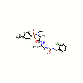 O=C(NCc1ccccc1Cl)NC[C@H](NC(=O)[C@@H]1CCCN1S(=O)(=O)c1ccc([N+](=O)[O-])cc1)C(=O)O